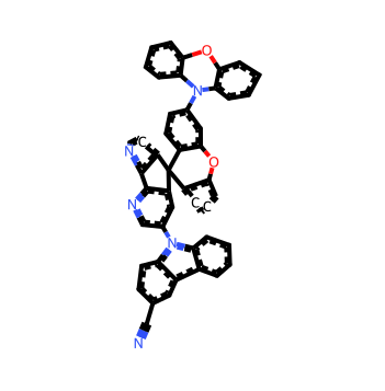 N#Cc1ccc2c(c1)c1ccccc1n2-c1cnc2c(c1)C1(c3ccccc3Oc3cc(N4c5ccccc5Oc5ccccc54)ccc31)c1cccnc1-2